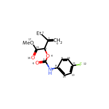 C=C(CC)C(OC(=O)Nc1ccc(F)cc1)C(=O)OC